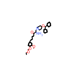 CCOCOc1ccc(C=CC=CC(=O)C(N)CN2CCC(OC(c3ccccc3)c3ccccc3)CC2)cc1OC